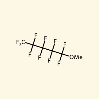 COC(F)(F)C(F)(F)C(F)(F)C(F)(F)C(F)(F)F